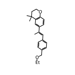 CCOCc1ccc(/C=C(\C)c2ccc3c(c2)C(C)(C)CCO3)cc1